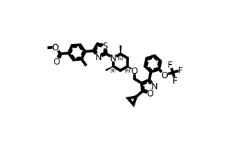 COC(=O)c1ccc(-c2csc(N3[C@H](C)C[C@H](OCc4c(-c5ccccc5OC(F)(F)F)noc4C4CC4)C[C@@H]3C)n2)c(C)c1